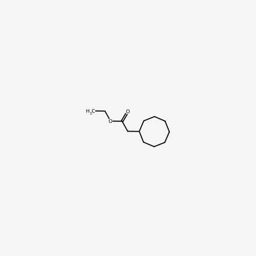 CCOC(=O)CC1CCCCCCC1